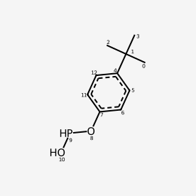 CC(C)(C)c1ccc(OPO)cc1